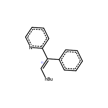 CCCC/C=C(\c1ccccc1)c1ccccn1